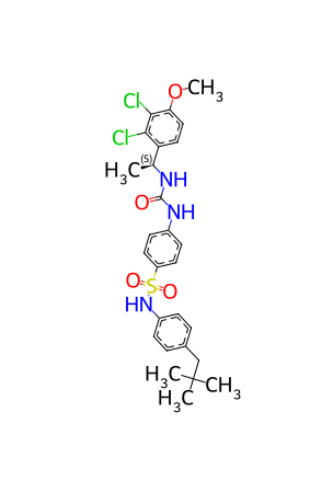 COc1ccc([C@H](C)NC(=O)Nc2ccc(S(=O)(=O)Nc3ccc(CC(C)(C)C)cc3)cc2)c(Cl)c1Cl